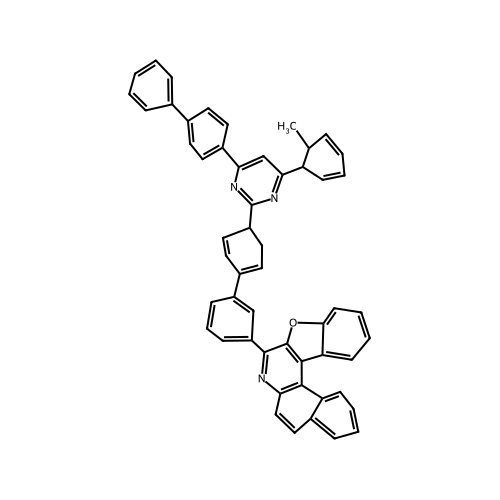 CC1C=CC=CC1c1cc(-c2ccc(-c3ccccc3)cc2)nc(C2C=CC(c3cccc(-c4nc5ccc6ccccc6c5c5c4oc4ccccc45)c3)=CC2)n1